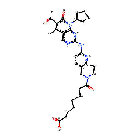 CC(=O)c1c(C)c2cnc(Nc3ccc4c(n3)CCN(C(=O)CCCCCCC(=O)O)C4)nc2n(C2CCCC2)c1=O